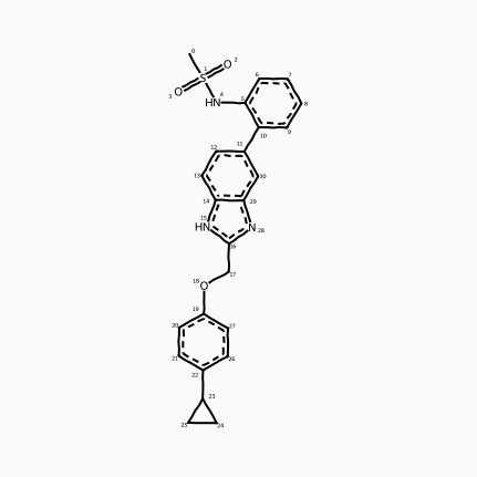 CS(=O)(=O)Nc1ccccc1-c1ccc2[nH]c(COc3ccc(C4CC4)cc3)nc2c1